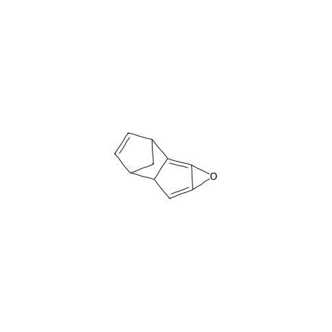 C1=CC2CC1C1=C3OC3=CC12